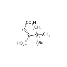 CCCC[Si](C)(C)/C(=C\C(=O)O)C(=O)O